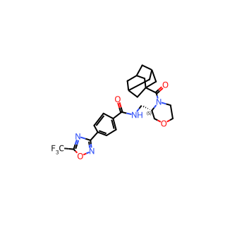 O=C(NC[C@H]1COCCN1C(=O)C12CC3CC(CC(C3)C1)C2)c1ccc(-c2noc(C(F)(F)F)n2)cc1